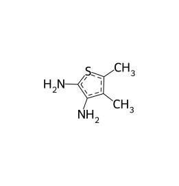 Cc1sc(N)c(N)c1C